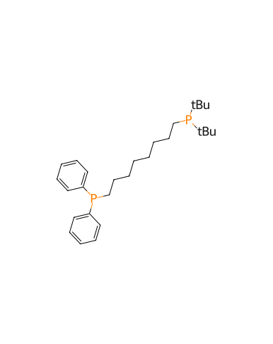 CC(C)(C)P(CCCCCCCCP(c1ccccc1)c1ccccc1)C(C)(C)C